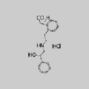 Cl.O=C(O)Cc1ccccc1CCNCC(O)c1ccccc1